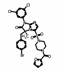 C[C@@]1(Cc2ccc(Br)cc2)C(=O)N(c2cc(Cl)cc(Cl)c2)c2ncc(S(=O)(=O)N3CCN(C(=O)c4ccco4)CC3)n21